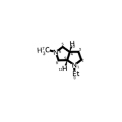 CCN1CC[C@H]2CN(C)C[C@H]21